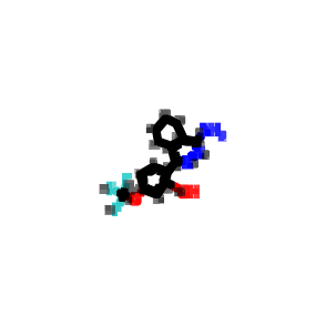 Nc1nnc(-c2ccc(OC(F)(F)F)cc2O)c2c1CCCC2